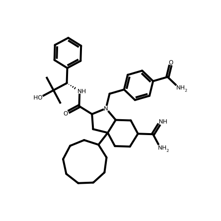 CC(C)(O)[C@@H](NC(=O)C1CC2(C3CCCCCCCC3)CCC(C(=N)N)CC2N1Cc1ccc(C(N)=O)cc1)c1ccccc1